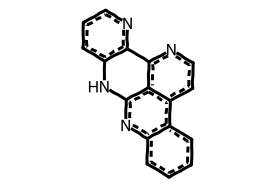 c1cnc2c(c1)Nc1nc3ccccc3c3ccnc-2c13